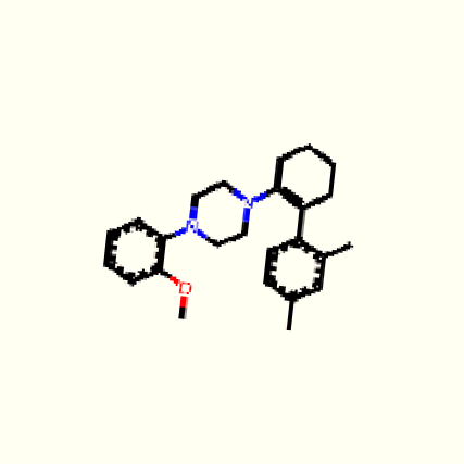 COc1ccccc1N1CCN(C2=C(c3ccc(C)cc3C)CCCC2)CC1